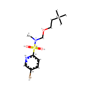 CC(=O)N(COCC[Si](C)(C)C)S(=O)(=O)c1ccc(Br)cn1